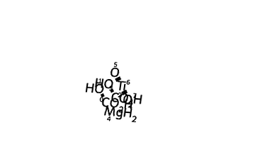 O=C(O)O.O=C(O)O.[MgH2].[O]=[Ti]=[O]